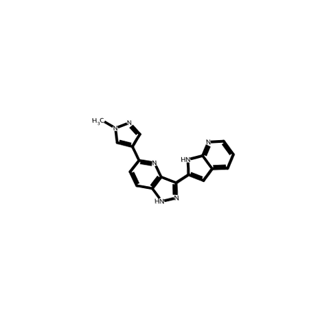 Cn1cc(-c2ccc3[nH]nc(-c4cc5cccnc5[nH]4)c3n2)cn1